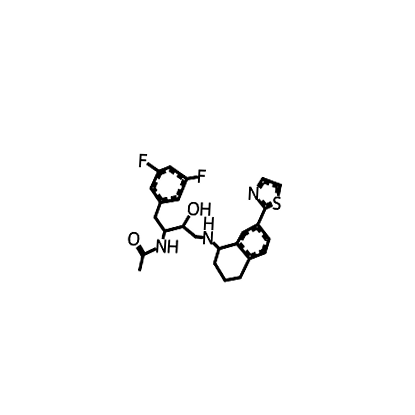 CC(=O)NC(Cc1cc(F)cc(F)c1)C(O)CNC1CCCc2ccc(-c3nccs3)cc21